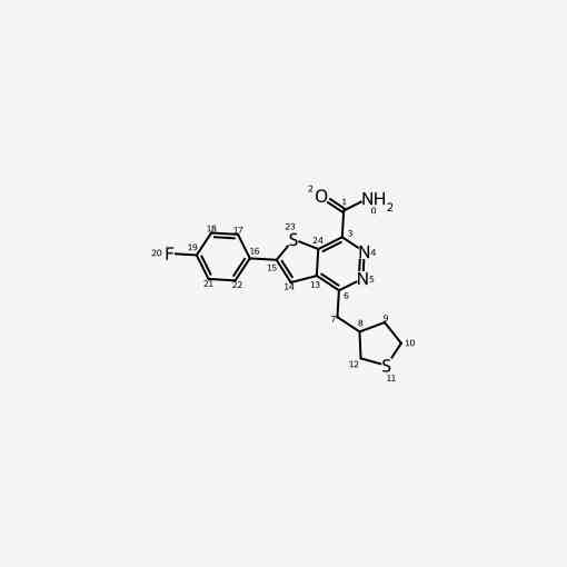 NC(=O)c1nnc(CC2CCSC2)c2cc(-c3ccc(F)cc3)sc12